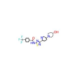 O=C(Nc1nc(-c2ccc(N3CCC(O)CC3)cn2)ns1)c1ccc(C(F)(F)F)cc1